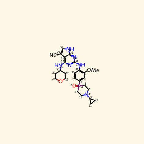 COc1cc(P2(=O)CCN(C3CC3)CC2)ccc1Nc1nc(NC2CCOCC2)c2c(C#N)c[nH]c2n1